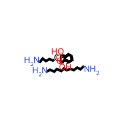 CCCCCCN.NCCCCCCCCCCCCN.O=C(O)c1ccccc1C(=O)O